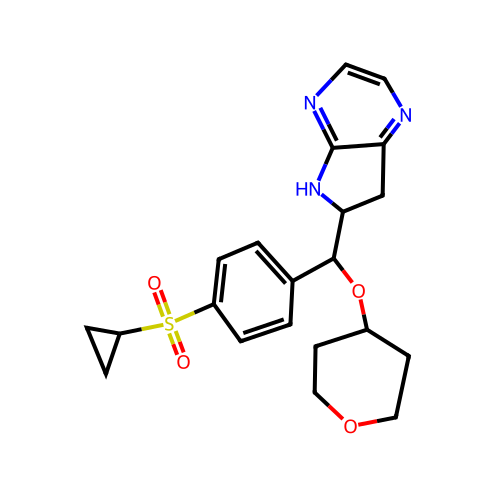 O=S(=O)(c1ccc(C(OC2CCOCC2)C2Cc3nccnc3N2)cc1)C1CC1